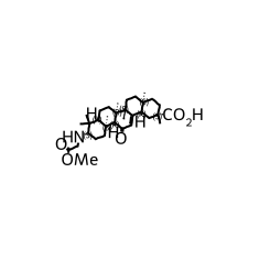 COC(=O)CN[C@H]1CC[C@]2(C)[C@H]3C(=O)C=C4[C@@H]5C[C@@](C)(C(=O)O)CC[C@]5(C)CC[C@@]4(C)[C@]3(C)CC[C@H]2C1(C)C